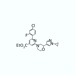 CCOC(=O)c1cc(-c2ccc(Cl)cc2F)nc(N2CCOC(c3cnn(C4CC4)c3)C2)c1